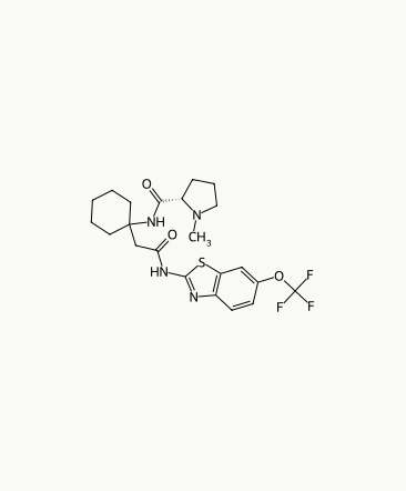 CN1CCC[C@H]1C(=O)NC1(CC(=O)Nc2nc3ccc(OC(F)(F)F)cc3s2)CCCCC1